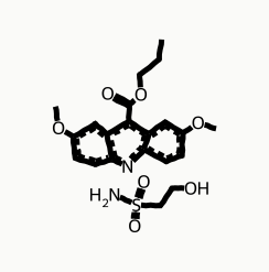 CCCOC(=O)c1c2cc(OC)ccc2nc2ccc(OC)cc12.NS(=O)(=O)CCO